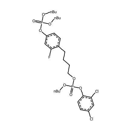 CCCCOP(=O)(OCCCC)Oc1ccc(CCCCOP(=O)(OCCCC)Oc2ccc(Cl)cc2Cl)c(F)c1